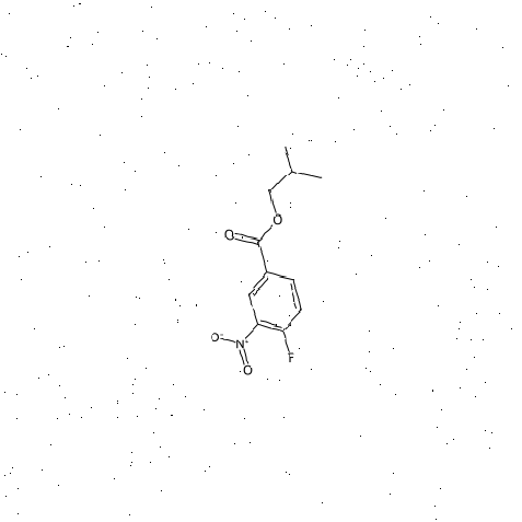 CC(C)COC(=O)c1ccc(F)c([N+](=O)[O-])c1